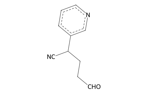 N#CC(CCC=O)c1cccnc1